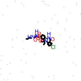 CCCCNC(=O)NS(=O)(=O)c1cccc(C(C=O)(CC)N2CNC(=O)c3cc(Cl)ccc32)c1